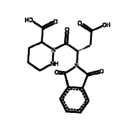 O=C(O)C[C@@H](C(=O)N1NCCCC1C(=O)O)N1C(=O)c2ccccc2C1=O